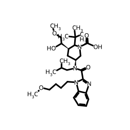 COCCCCn1c(C(=O)N(CC(C)C)[C@H]2C[C@@H](C(O)COC)C(C(C)(C)C)N(C(=O)O)C2)nc2ccccc21